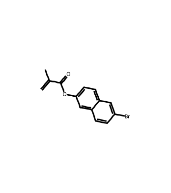 C=C(C)C(=O)Oc1ccc2cc(Br)ccc2c1